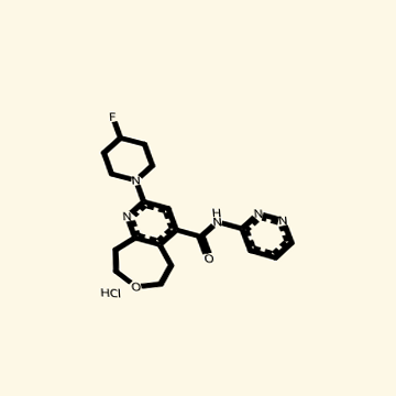 Cl.O=C(Nc1cccnn1)c1cc(N2CCC(F)CC2)nc2c1CCOCC2